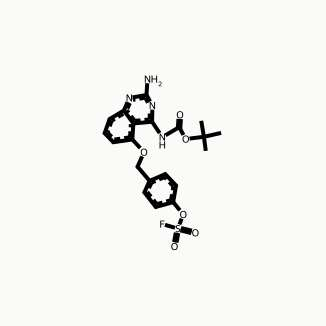 CC(C)(C)OC(=O)Nc1nc(N)nc2cccc(OCc3ccc(OS(=O)(=O)F)cc3)c12